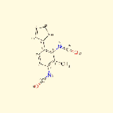 Cc1c(N=C=O)ccc(C2C=CCC2)c1N=C=O